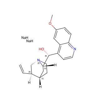 C=C[C@H]1C[N@]2CC[C@H]1C[C@H]2[C@H](O)c1ccnc2ccc(OC)cc12.[NaH].[NaH]